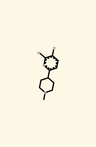 CN1CCC(c2ccc(Cl)c(Cl)n2)CC1